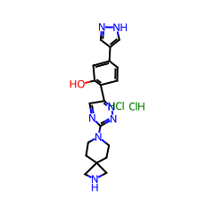 Cl.Cl.Oc1cc(-c2cn[nH]c2)ccc1-c1cnc(N2CCC3(CC2)CNC3)nn1